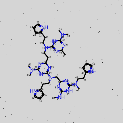 CNC1=NC(CN(CCc2ccc[nH]2)C2=NC(CCN(CCc3ccc[nH]3)C3=NC(C)N=C(N(C)C)N3)N=C(N(C)C)N2)N=C(N(C)CCc2ccc[nH]2)N1